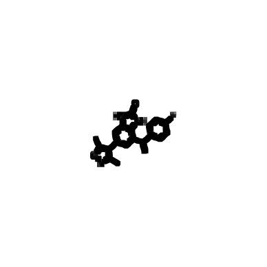 C=C(c1ccc(F)cc1)c1cc(-c2c(C)noc2C)cc2[nH]c(=O)[nH]c12